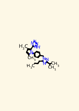 CCCCc1nc(C(C)C)nn1Cc1ccc(-n2c(C)cc(C)c2-c2nnn[nH]2)cc1